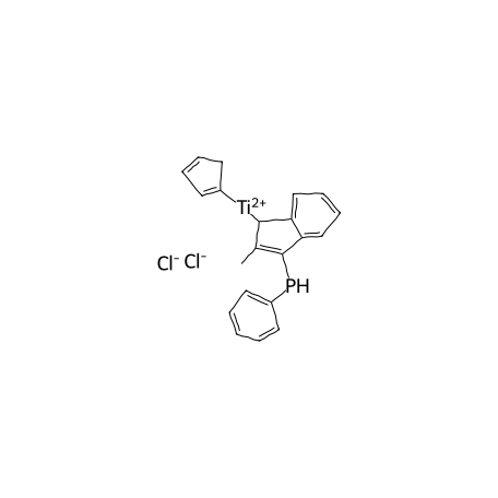 CC1=C(Pc2ccccc2)c2ccccc2[CH]1[Ti+2][C]1=CC=CC1.[Cl-].[Cl-]